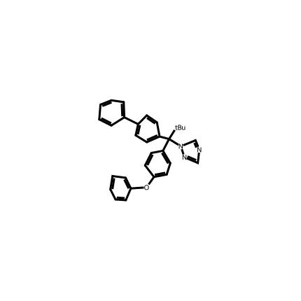 CC(C)(C)C(c1ccc(Oc2ccccc2)cc1)(c1ccc(-c2ccccc2)cc1)n1cncn1